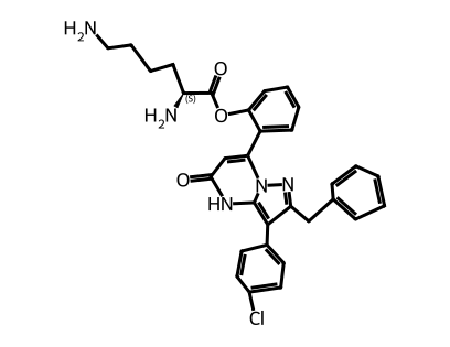 NCCCC[C@H](N)C(=O)Oc1ccccc1-c1cc(=O)[nH]c2c(-c3ccc(Cl)cc3)c(Cc3ccccc3)nn12